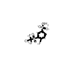 NS(=O)(=O)c1ccc(F)c(S(=O)(=O)C(F)(F)Cl)c1